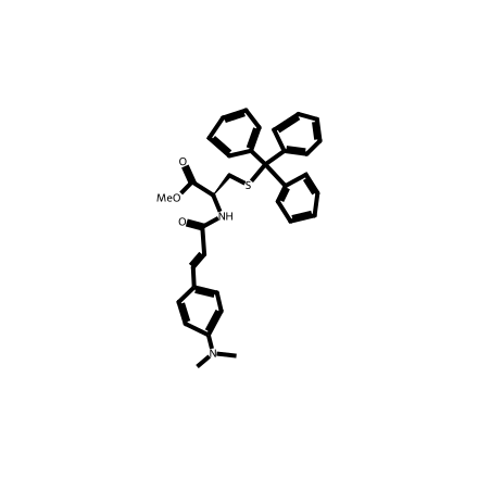 COC(=O)[C@@H](CSC(c1ccccc1)(c1ccccc1)c1ccccc1)NC(=O)/C=C/c1ccc(N(C)C)cc1